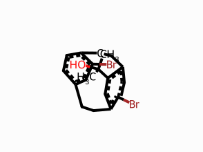 CC(C)(O)c1cc2c(Br)cc1CCc1ccc(cc1Br)CC2